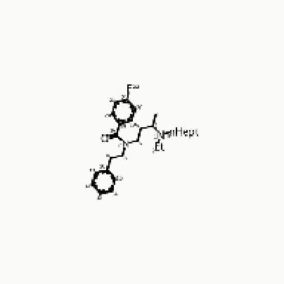 CCCCCCCN(CC)C(C)CCN(CCc1ccccc1)C(=O)c1ccc(F)cc1